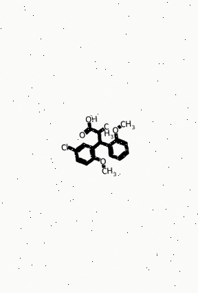 COc1ccccc1C(c1cc(Cl)ccc1OC)C(C)C(=O)O